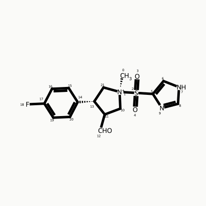 C[N@+]1(S(=O)(=O)c2c[nH]cn2)CC(C=O)[C@H](c2ccc(F)cc2)C1